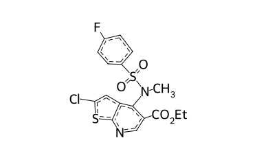 CCOC(=O)c1cnc2sc(Cl)cc2c1N(C)S(=O)(=O)c1ccc(F)cc1